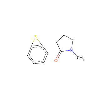 CN1CCCC1=O.c1ccc2c(c1)S2